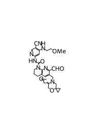 COCCNc1cc(NC(=O)N2CCCc3cc(CN4CC5(CC5)OCC4=C=O)c(C=O)nc32)ncc1C#N